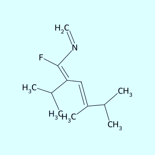 C=N/C(F)=C(\C=C(/C)C(C)C)C(C)C